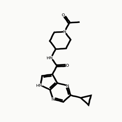 CC(=O)N1CCC(NC(=O)c2c[nH]c3ncc(C4CC4)nc23)CC1